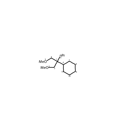 CCCC(COC)(COC)C1CCCCC1